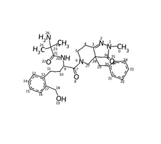 CN1N=C2CCN(C(=O)C(CCc3ccccc3CO)NC(=O)C(C)(C)N)CC2(Cc2ccccc2)C1=O